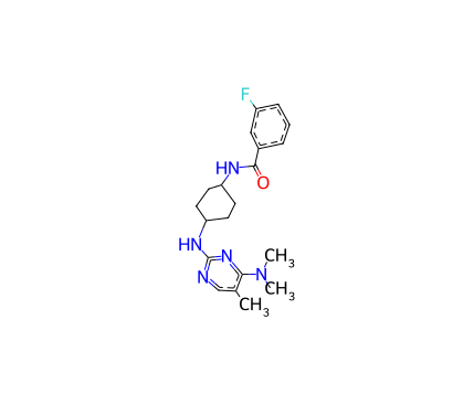 Cc1cnc(NC2CCC(NC(=O)c3cccc(F)c3)CC2)nc1N(C)C